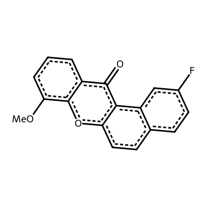 COc1cccc2c(=O)c3c(ccc4ccc(F)cc43)oc12